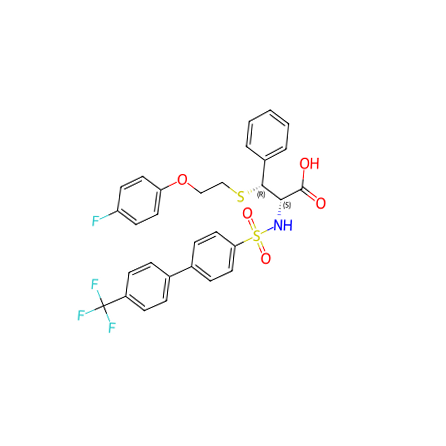 O=C(O)[C@H](NS(=O)(=O)c1ccc(-c2ccc(C(F)(F)F)cc2)cc1)[C@H](SCCOc1ccc(F)cc1)c1ccccc1